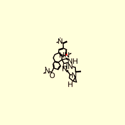 C=C(c1ccc2c(c1)CCc1cc(C(=O)N(C)C)ccc1C2(CCNCC(=C)N1C(C#N)C[C@@H]2CC21)C(=N)NC)N(C)C